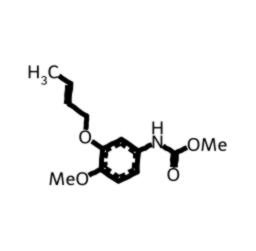 C/C=C/COc1cc(NC(=O)OC)ccc1OC